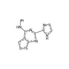 CC(C)Nc1nc(-c2ncc[nH]2)nc2sccc12